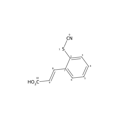 N#CSc1ccccc1C=CC(=O)O